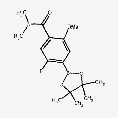 COc1cc(B2OC(C)(C)C(C)(C)O2)c(F)cc1C(=O)N(C)C